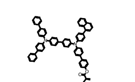 C=C(C)C(=O)Oc1ccc(-c2ccc(N(c3ccc(-c4ccc(N(c5ccc(-c6ccccc6)cc5)c5ccc(-c6ccccc6)cc5)cc4)cc3)c3ccc(-c4cccc5ccccc45)cc3)cc2)cc1